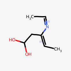 C/C=N\C(=C/C)CC(O)O